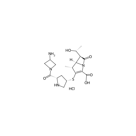 C[C@@H](O)[C@H]1C(=O)N2C(C(=O)O)=C(S[C@@H]3CN[C@H](C(=O)N4CC(N)C4)C3)[C@H](C)[C@@H]12.Cl